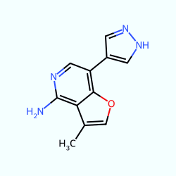 Cc1coc2c(-c3cn[nH]c3)cnc(N)c12